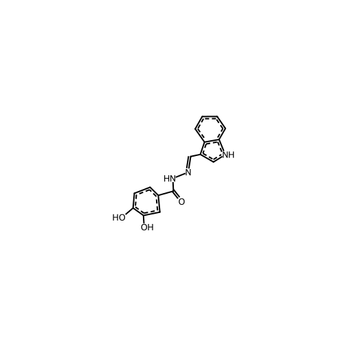 O=C(NN=Cc1c[nH]c2ccccc12)c1ccc(O)c(O)c1